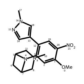 COc1cc(N2C3CC2CN(C)C3)c(-c2cnn(C)c2)cc1[N+](=O)[O-]